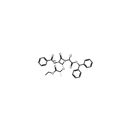 CCOC(=O)[C@@H](C)O[C@@H]1[C@@H](NC(=O)c2ccccc2)C(=O)N1C(Cl)C(=O)OC(c1ccccc1)c1ccccc1